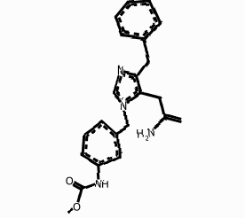 C=C(N)Cc1c(Cc2ccccc2)ncn1Cc1cccc(NC(=O)OC)c1